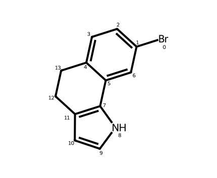 Brc1ccc2c(c1)-c1[nH]ccc1CC2